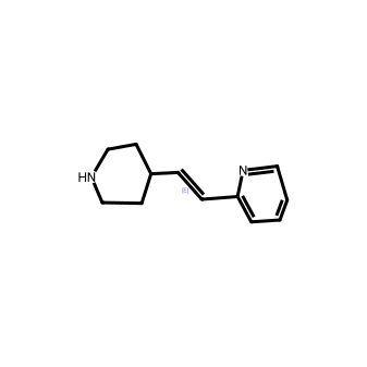 C(=C\C1CCNCC1)/c1ccccn1